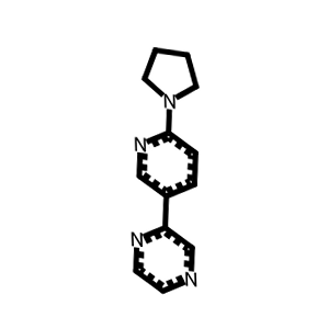 c1cnc(-c2ccc(N3CCCC3)nc2)cn1